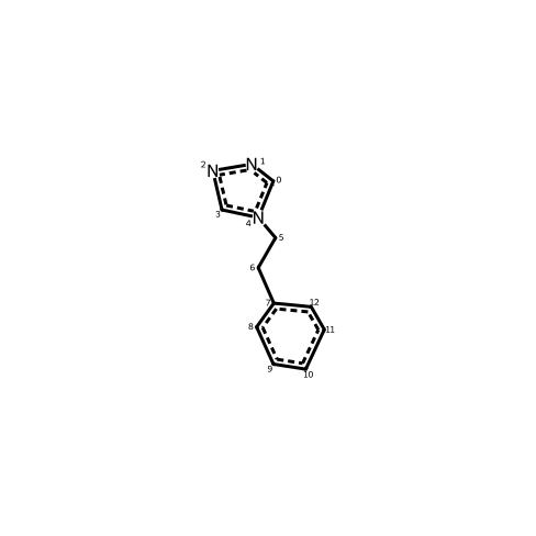 [c]1nncn1CCc1ccccc1